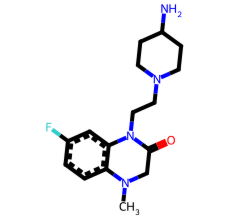 CN1CC(=O)N(CCN2CCC(N)CC2)c2cc(F)ccc21